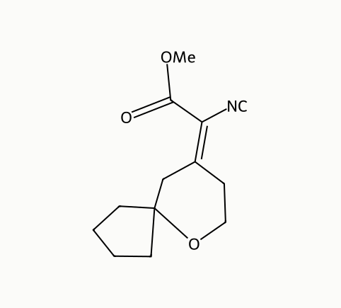 [C-]#[N+]C(C(=O)OC)=C1CCOC2(CCCC2)C1